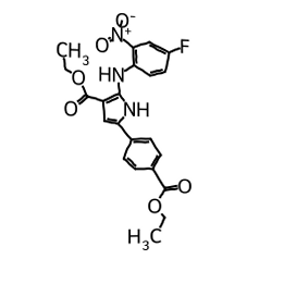 CCOC(=O)c1ccc(-c2cc(C(=O)OCC)c(Nc3ccc(F)cc3[N+](=O)[O-])[nH]2)cc1